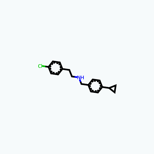 Clc1ccc(CCNCc2ccc(C3CC3)cc2)cc1